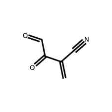 C=C(C#N)C(=O)C=O